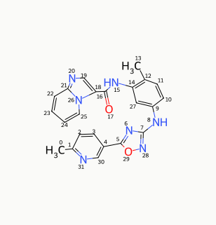 Cc1ccc(-c2nc(Nc3ccc(C)c(NC(=O)c4cnc5ccccn45)c3)no2)cn1